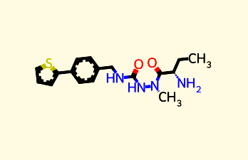 CC[C@H](N)C(=O)N(C)NC(=O)NCc1ccc(-c2cccs2)cc1